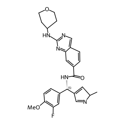 COc1ccc([C@H](NC(=O)c2ccc3cnc(NC4CCOCC4)nc3c2)C2=CC(C)N=C2)cc1F